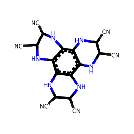 N#CC1Nc2c3c(c4c(c2NC1C#N)NC(C#N)C(C#N)N4)NC(C#N)C(C#N)N3